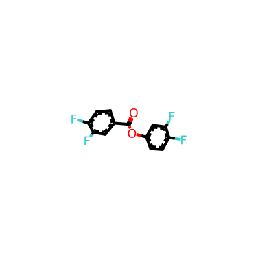 O=C(Oc1ccc(F)c(F)c1)c1ccc(F)c(F)c1